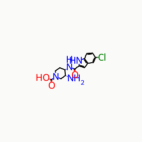 N[C@@H]1CN(C(=O)O)CC[C@@H]1NC(=O)c1cc2cc(Cl)ccc2[nH]1